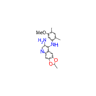 COc1cc(Nc2c(N)cnc3cc4c(cc23)OC(C)O4)c(C)cc1C